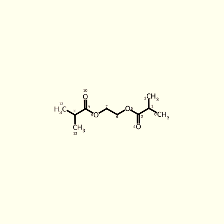 CC(C)C(=O)OCCOC(=O)C(C)C